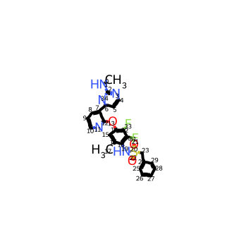 CNc1nccc(-c2cccnc2Oc2cc(C)c(NS(=O)(=O)Cc3ccccc3)c(F)c2F)n1